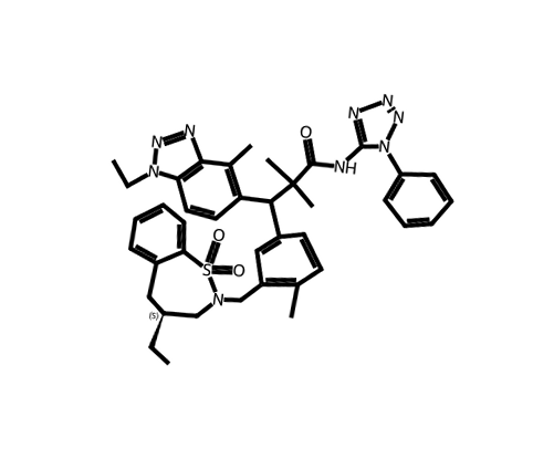 CC[C@H]1Cc2ccccc2S(=O)(=O)N(Cc2cc(C(c3ccc4c(nnn4CC)c3C)C(C)(C)C(=O)Nc3nnnn3-c3ccccc3)ccc2C)C1